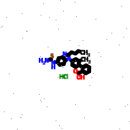 CCCCc1nc2cc(NC(N)=S)ccc2n1-c1ccc(-c2ccccc2C(=O)O)c(C)c1.Cl